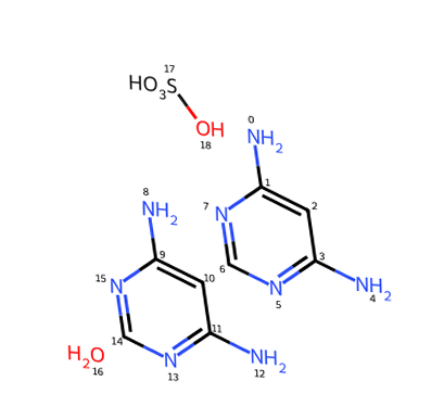 Nc1cc(N)ncn1.Nc1cc(N)ncn1.O.O=S(=O)(O)O